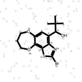 CC(C)(C)C(O)c1cc2c(c3sc(Br)nc13)OCCCO2